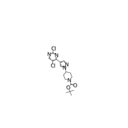 CC(C)(C)OC(=O)N1CCC(n2cc(-c3nc(Cl)ncc3Cl)cn2)CC1